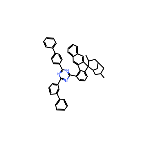 CC1CC2CC(C)C3(c4cc5ccccc5cc4-c4c(-c5nc(-c6ccc(-c7ccccc7)cc6)nc(-c6cccc(-c7ccccc7)c6)n5)cccc43)C(C1)C2